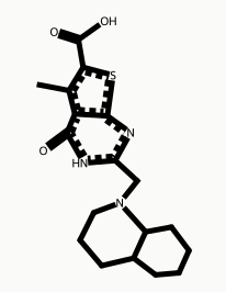 Cc1c(C(=O)O)sc2nc(CN3CCCC4CCCCC43)[nH]c(=O)c12